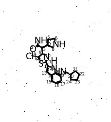 NC(=O)C(C1CCNC1)C1N=C(c2cc3cccc(NC4CCCC4)c3[nH]2)S[C@H]1Cl